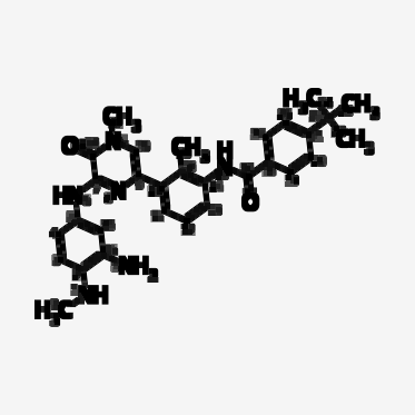 CNc1ccc(Nc2nc(-c3cccc(NC(=O)c4ccc(C(C)(C)C)cc4)c3C)cn(C)c2=O)cc1N